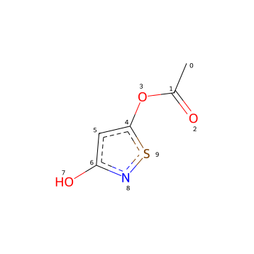 CC(=O)Oc1cc(O)ns1